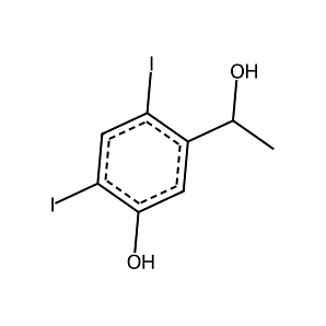 CC(O)c1cc(O)c(I)cc1I